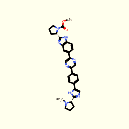 CC(C)(C)OC(=O)N1CCC[C@H]1c1nc2cc(-c3cnc(-c4ccc(-c5cnc([C@@H]6CCCN6C(=O)O)[nH]5)cc4)cn3)ccc2[nH]1